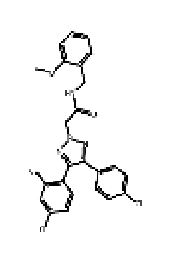 COc1ccccc1CNC(=O)Cn1nc(-c2ccc(Cl)cc2)c(-c2ccc(Cl)cc2Cl)n1